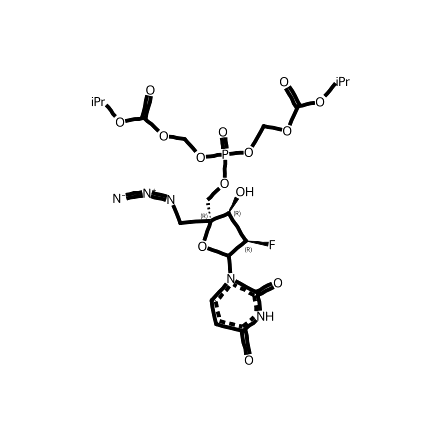 CC(C)OC(=O)OCOP(=O)(OCOC(=O)OC(C)C)OC[C@@]1(CN=[N+]=[N-])OC(n2ccc(=O)[nH]c2=O)[C@H](F)[C@@H]1O